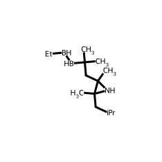 CCBBC(C)(C)CC1(C)NC1(C)CC(C)C